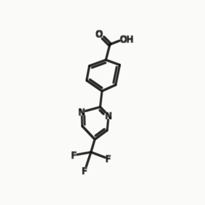 O=C(O)c1ccc(-c2ncc(C(F)(F)F)cn2)cc1